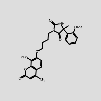 CCCc1c(OCCCCN2C(=O)NC(C)(c3ccccc3OC)C2=O)ccc2c(C(F)(F)F)cc(=O)oc12